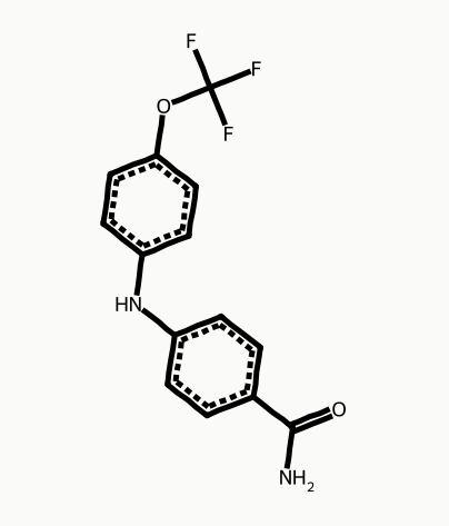 NC(=O)c1ccc(Nc2ccc(OC(F)(F)F)cc2)cc1